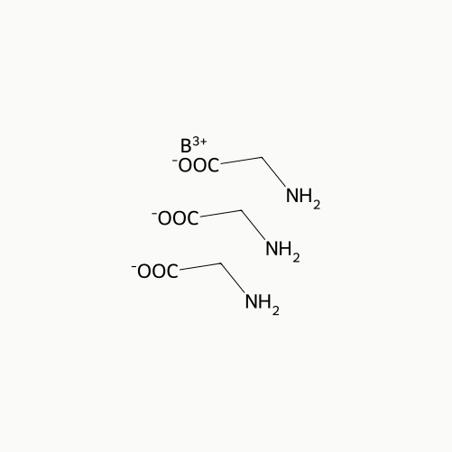 NCC(=O)[O-].NCC(=O)[O-].NCC(=O)[O-].[B+3]